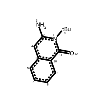 CC(C)(C)n1c(N)cc2ccccc2c1=O